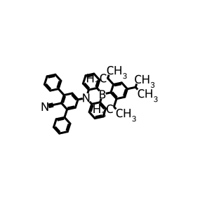 CC(C)c1cc(C(C)C)c(B2c3ccccc3N(c3cc(-c4ccccc4)c(C#N)c(-c4ccccc4)c3)c3ccccc32)c(C(C)C)c1